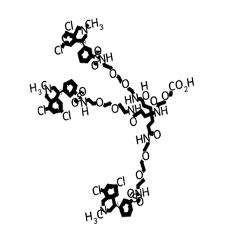 CN1Cc2c(Cl)cc(Cl)cc2[C@H](c2cccc(S(=O)(=O)NCCOCCOCCNC(=O)CCC(CCC(=O)NCCOCCOCCNS(=O)(=O)c3cccc([C@@H]4CN(C)Cc5c(Cl)cc(Cl)cc54)c3)(CCC(O)NCCOCCOCCNS(=O)(=O)c3cccc([C@@H]4CN(C)Cc5c(Cl)cc(Cl)cc54)c3)NC(=O)COCC(=O)O)c2)C1